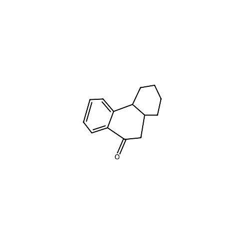 O=C1CC2CCCCC2c2ccccc21